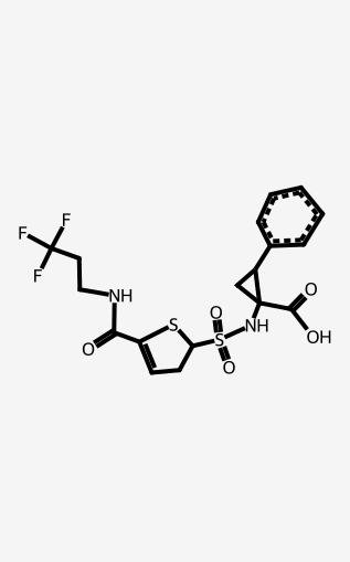 O=C(NCCC(F)(F)F)C1=CCC(S(=O)(=O)NC2(C(=O)O)CC2c2ccccc2)S1